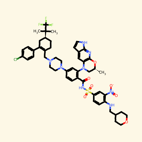 C[C@@H]1CN(c2cc(N3CCN(CC4=C(c5ccc(Cl)cc5)C[C@@H](C(C)(C)C(F)(F)F)CC4)CC3)ccc2C(=O)NS(=O)(=O)c2ccc(NCC3CCOCC3)c([N+](=O)[O-])c2)c2cc3cc[nH]c3nc2O1